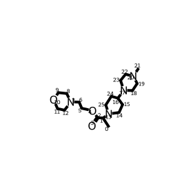 CC(C(=O)OCCN1CCOCC1)N1CCC(N2CCN(C)CC2)CC1